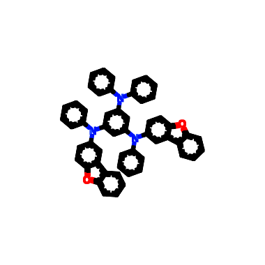 c1ccc(N(c2ccccc2)c2cc(N(c3ccccc3)c3ccc4oc5ccccc5c4c3)cc(N(c3ccccc3)c3ccc4oc5ccccc5c4c3)c2)cc1